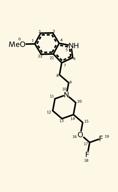 COc1ccc2[nH]cc(CCN3CCCC(COC(F)F)C3)c2c1